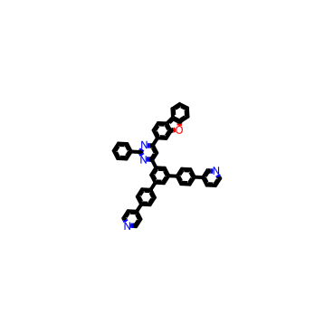 c1ccc(-c2nc(-c3cc(-c4ccc(-c5ccncc5)cc4)cc(-c4ccc(-c5cccnc5)cc4)c3)cc(-c3ccc4c(c3)oc3ccccc34)n2)cc1